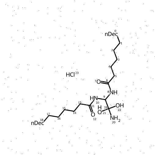 CCCCCCCCCCCCCCCC(=O)NC(NC(=O)CCCCCCCCCCCCCCC)C(N)(O)O.Cl